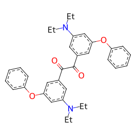 CCN(CC)c1cc(Oc2ccccc2)cc(C(=O)C(=O)c2cc(Oc3ccccc3)cc(N(CC)CC)c2)c1